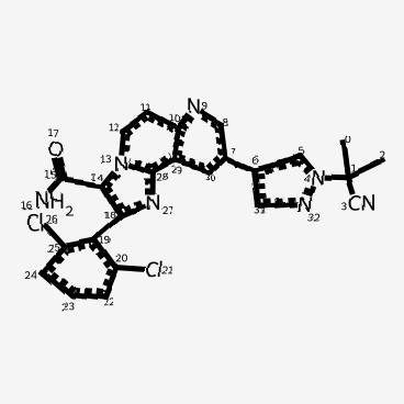 CC(C)(C#N)n1cc(-c2cnc3ccn4c(C(N)=O)c(-c5c(Cl)cccc5Cl)nc4c3c2)cn1